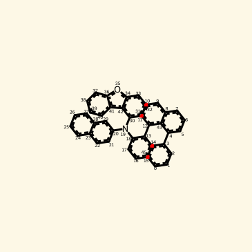 c1ccc(-c2cccc3cccc(-c4ccccc4N(c4ccc5ccccc5c4)c4cccc5oc6ccccc6c45)c23)cc1